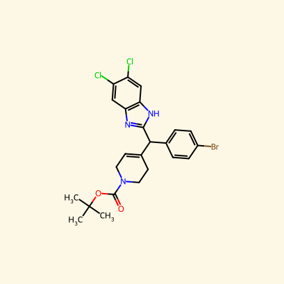 CC(C)(C)OC(=O)N1CC=C(C(c2ccc(Br)cc2)c2nc3cc(Cl)c(Cl)cc3[nH]2)CC1